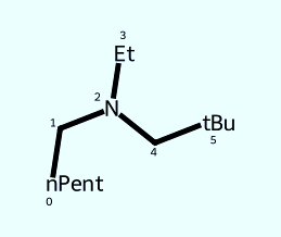 CCCCCCN(CC)CC(C)(C)C